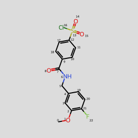 COc1cc(CNC(=O)c2ccc(S(=O)(=O)Cl)cc2)ccc1F